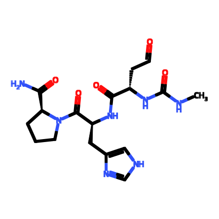 CNC(=O)N[C@@H](CC=O)C(=O)N[C@@H](Cc1c[nH]cn1)C(=O)N1CCC[C@H]1C(N)=O